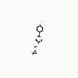 CCCCCCCOc1ccc(-c2ncc(OC(=O)[C@H]3CC3(C)C)cn2)cc1